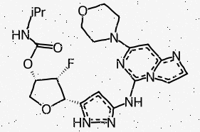 CC(C)NC(=O)O[C@H]1CO[C@@H](c2cc(Nc3nc(N4CCOCC4)cc4nccn34)n[nH]2)[C@H]1F